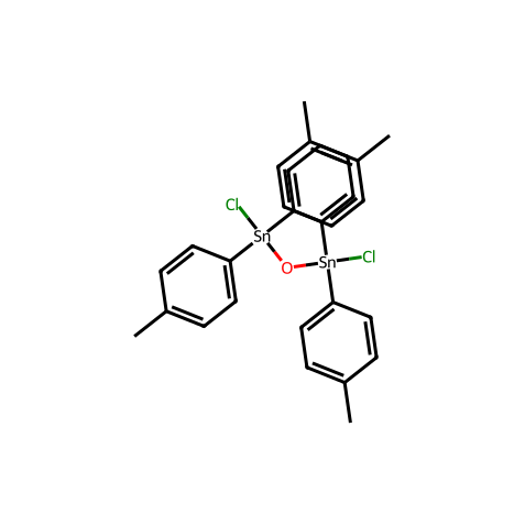 Cc1cc[c]([Sn]([Cl])([O][Sn]([Cl])([c]2ccc(C)cc2)[c]2ccc(C)cc2)[c]2ccc(C)cc2)cc1